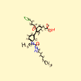 CCCCCCCNC(=O)N(C)c1cccc(-c2ccc(CCC(=O)O)cc2OCCCCl)c1